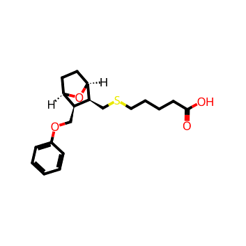 O=C(O)CCCCSC[C@H]1[C@@H](COc2ccccc2)[C@H]2CC[C@@H]1O2